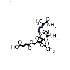 C=[N+](/C=C\C=C(/C)C(N)=O)[C@@H]1O[C@H](COC(=O)CCC(=O)O)[C@@H](OC(C)=O)[C@H]1OC(C)=O